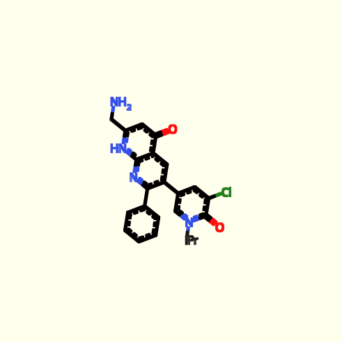 CC(C)n1cc(-c2cc3c(=O)cc(CN)[nH]c3nc2-c2ccccc2)cc(Cl)c1=O